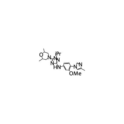 COc1cc(Nc2nc(N3CC(C)OC(C)C3)n(C(C)C)n2)ccc1-n1cnc(C)c1